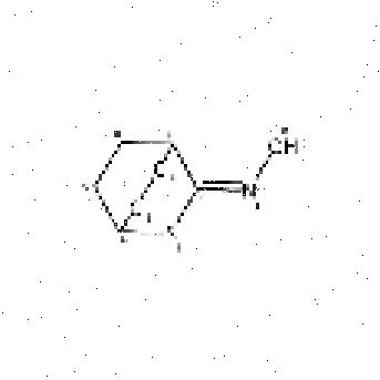 O/N=C1/SC2CCC1CC2